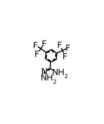 N/N=C(\N)c1cc(C(F)(F)F)cc(C(F)(F)F)c1